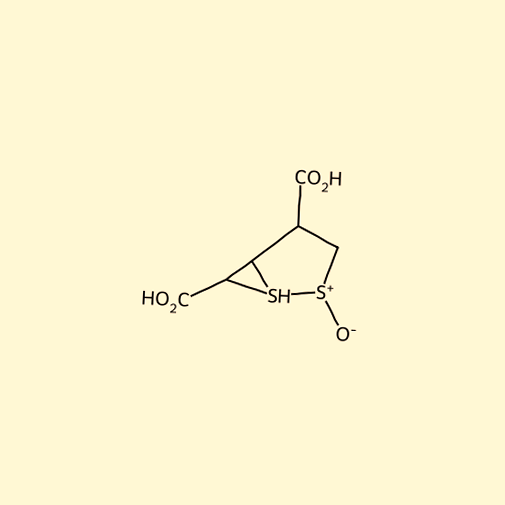 O=C(O)C1C[S+]([O-])[SH]2C(C(=O)O)C12